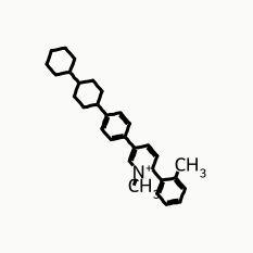 Cc1ccccc1-c1ccc(-c2ccc(C3CCC(C4CCCCC4)CC3)cc2)c[n+]1C